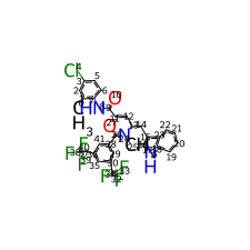 Cc1cc(Cl)ccc1NC(=O)C=CC(Cc1c[nH]c2ccccc12)N(C)C(=O)c1cc(C(F)(F)F)cc(C(F)(F)F)c1